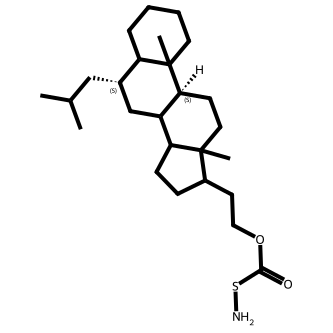 CC(C)C[C@H]1CC2C3CCC(CCOC(=O)SN)C3(C)CC[C@@H]2C2(C)CCCCC12